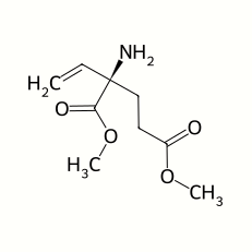 C=C[C@](N)(CCC(=O)OC)C(=O)OC